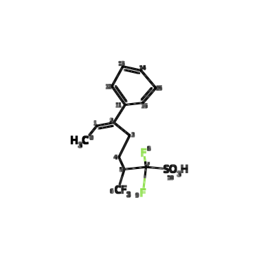 CC=C(CCC(C(F)(F)F)C(F)(F)S(=O)(=O)O)c1ccccc1